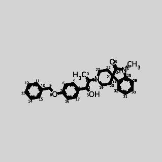 CC(C(O)c1ccc(OCc2ccccc2)cc1)N1CCC2(CC1)C(=O)N(C)c1ccccc12